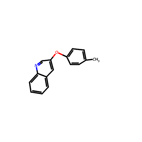 Cc1ccc(Oc2[c]nc3ccccc3c2)cc1